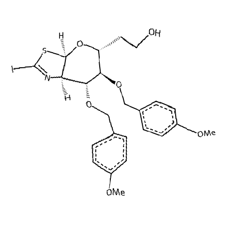 COc1ccc(CO[C@@H]2[C@H]3N=C(I)S[C@H]3O[C@H](CCO)[C@H]2OCc2ccc(OC)cc2)cc1